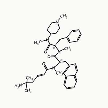 CN1CCC(N(C)C(=O)[C@@H](Cc2ccccc2)N(C)C(=O)[C@@H](Cc2ccc3ccccc3c2)N(C)C(=O)C=CCC(C)(C)N)CC1